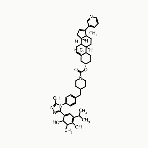 CC(C)C1=C(O)C(C)C(O)C(c2nnc(O)n2-c2ccc(CC3CCN(C(=O)O[C@H]4CC[C@@]5(C)C(=CC[C@@H]6[C@@H]5CC[C@]5(C)C(c7cccnc7)=CC[C@@H]65)C4)CC3)cc2)=C1